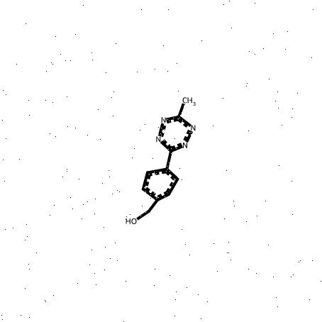 Cc1nnc(-c2ccc(CO)cc2)nn1